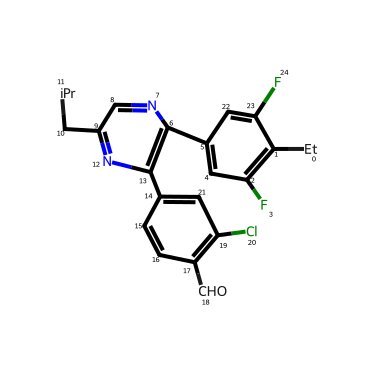 CCc1c(F)cc(-c2ncc(CC(C)C)nc2-c2ccc(C=O)c(Cl)c2)cc1F